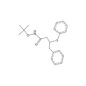 CC(C)(C)ONC(=O)CC(Cc1ccccc1)Sc1ccccc1